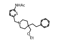 CCOCC1(CCc2ccccc2)CCN(Cc2ccc(NC(C)=O)s2)CC1